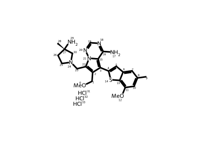 COCc1c(-c2cc3cc(C)cc(OC)c3s2)c2c(N)ncnn2c1CN1CC[C@](C)(N)C1.Cl.Cl.Cl